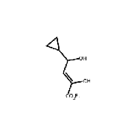 CCOC(=O)C(O)=CC(O)C1CC1